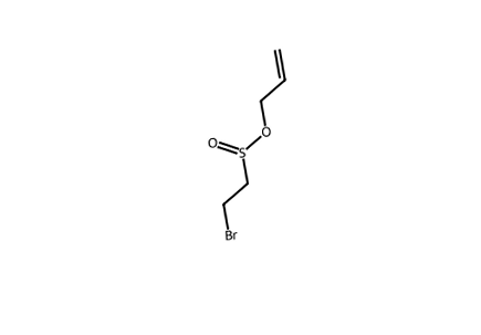 C=CCOS(=O)CCBr